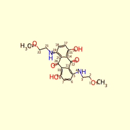 COCCNc1ccc(O)c2c1C(=O)c1c(O)ccc(NCCOC)c1C2=O